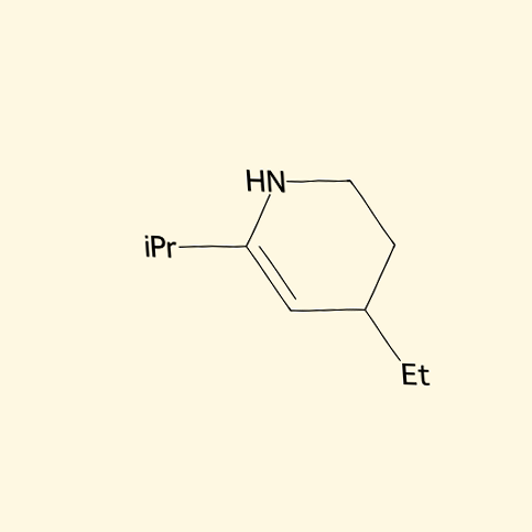 CCC1C=C(C(C)C)NCC1